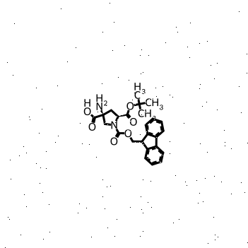 CC(C)(C)OC(=O)[C@@H]1C[C@@](N)(C(=O)O)CN1C(=O)OCC1c2ccccc2-c2ccccc21